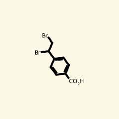 O=C(O)c1ccc(C(Br)CBr)cc1